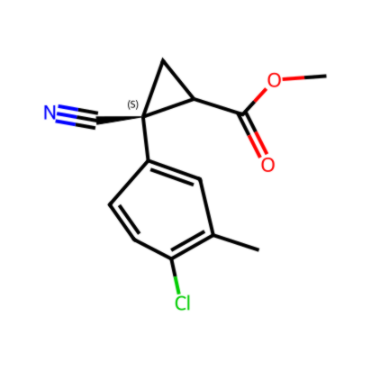 COC(=O)C1C[C@@]1(C#N)c1ccc(Cl)c(C)c1